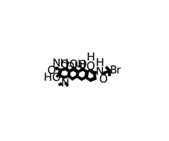 CN(C)[C@@H]1C(O)=C(C(N)=O)C(=O)C2(O)C(O)=C3C(=O)c4c(ccc(NC(=O)C(C)(C)Br)c4O)CC3CC12